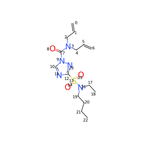 C=CCN(CC=C)C(=O)n1cnc(S(=O)(=O)N(CC)CCCC)n1